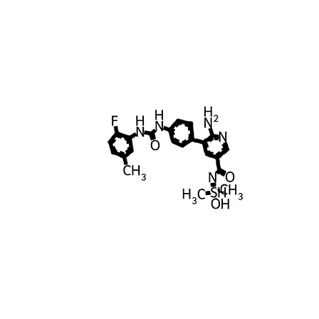 Cc1ccc(F)c(NC(=O)Nc2ccc(-c3cc(C(=O)N=[SH](C)(C)O)cnc3N)cc2)c1